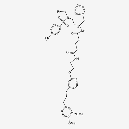 COc1ccc(CCCc2cccc(OCCNC(=O)CCCC(=O)N[C@H](CCN(CC(C)C)S(=O)(=O)c3ccc(N)cc3)Cc3ccccc3)c2)cc1OC